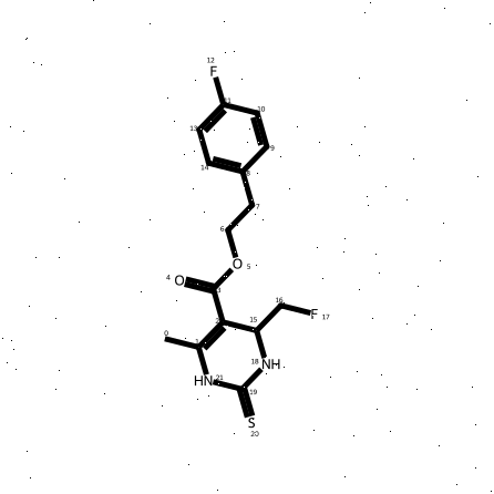 CC1=C(C(=O)OCCc2ccc(F)cc2)C(CF)NC(=S)N1